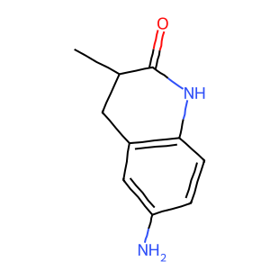 CC1Cc2cc(N)ccc2NC1=O